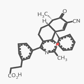 Cc1nc(-c2cccc(CCC(=O)O)c2)c2c(n1)[C@@]1(c3ccccc3)C=C(C#N)C(=O)[C@@H](C)[C@@H]1CC2